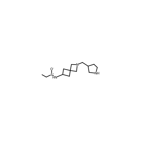 CC[S+]([O-])NC1CC2(C1)CN(CC1CCNC1)C2